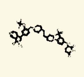 Cn1cc(-c2ccc(CN3CCC(CCC4CCN(c5ccc(NC6CCC(=O)NC6=O)cc5C(F)(F)F)CC4)CC3)c(OC(F)(F)F)c2)c2ccncc2c1=O